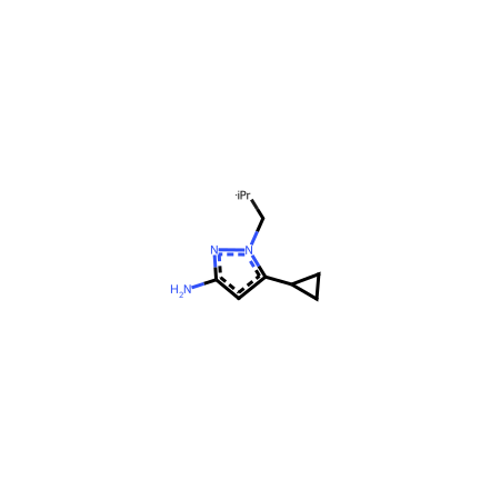 C[C](C)Cn1nc(N)cc1C1CC1